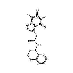 Cn1c(=O)c2c(ncn2CC(=O)NC2CCSc3ccccc32)n(C)c1=O